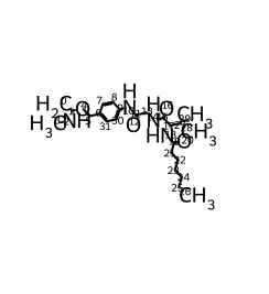 C=C(NC)OCc1ccc(NC(=O)CNC(=O)[C@@H](NC(=O)CCCCCC)C(C)C)cc1